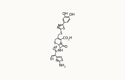 CC/C=C(/C(=O)NC1C(=O)N2C(C(=O)O)=C(CSc3nnc(-c4ccc(O)c(O)c4)s3)CS[C@H]12)c1csc(N)n1